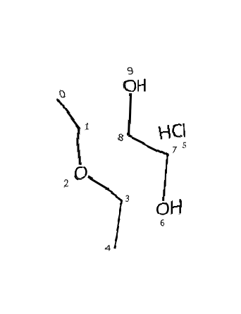 CCOCC.Cl.OCCO